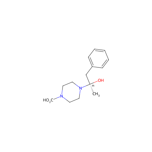 C[C@@](O)(Cc1ccccc1)N1CCN(C(=O)O)CC1